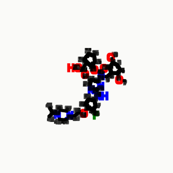 COc1ccc(OC)c(CN(C(=O)Oc2ccccc2C(=O)O)c2ccnc(Nc3ccc(OCCN4CCN(C(C)C)CC4)c(F)c3)n2)c1